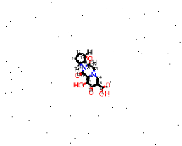 O=C(O)c1cn2c(c(O)c1=O)C(=O)N1[C@@H]3CC[C@@H](C3)O[C@H]1C2